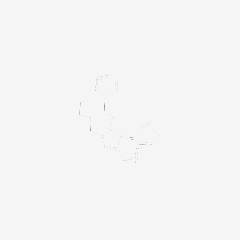 CCCCc1nc2c[n+]([O-])c3ccccc3c2n1NCc1ccccc1